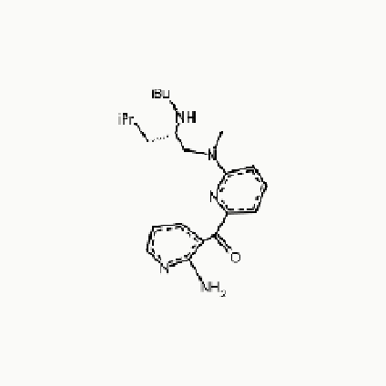 CC[C@H](C)N[C@@H](CC(C)C)CN(C)c1cccc(C(=O)c2cccnc2N)n1